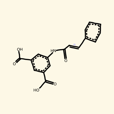 O=C(/C=C/c1ccccc1)Nc1cc(C(=O)O)cc(C(=O)O)c1